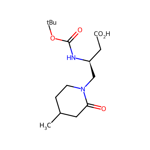 CC1CCN(C[C@H](CC(=O)O)NC(=O)OC(C)(C)C)C(=O)C1